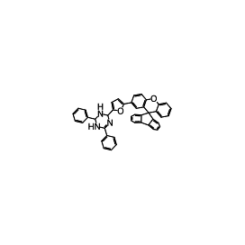 c1ccc(C2=NC(c3ccc(-c4ccc5c(c4)C4(c6ccccc6O5)c5ccccc5-c5ccccc54)o3)NC(c3ccccc3)N2)cc1